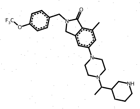 Cc1cc(N2CCN(C(C)C3CCCNC3)CC2)cc2c1C(=O)N(Cc1ccc(OC(F)(F)F)cc1)C2